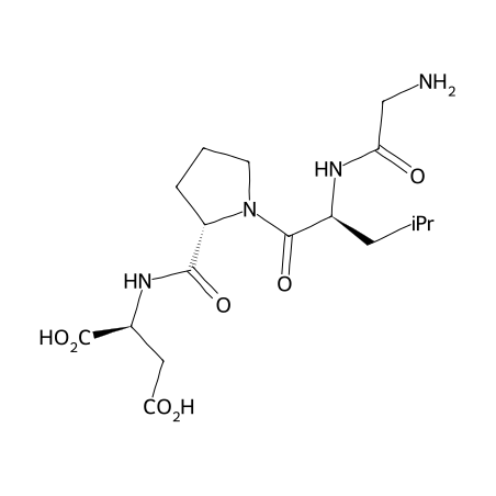 CC(C)C[C@H](NC(=O)CN)C(=O)N1CCC[C@H]1C(=O)N[C@@H](CC(=O)O)C(=O)O